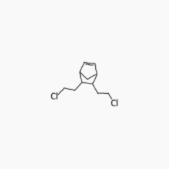 ClCCC1C2C=CC(C2)C1CCCl